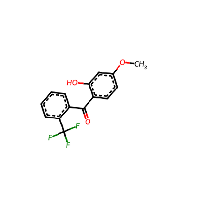 COc1ccc(C(=O)c2ccccc2C(F)(F)F)c(O)c1